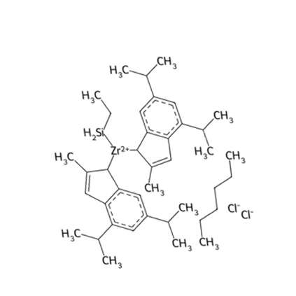 CCCCCC.CC[SiH2][Zr+2]([CH]1C(C)=Cc2c(C(C)C)cc(C(C)C)cc21)[CH]1C(C)=Cc2c(C(C)C)cc(C(C)C)cc21.[Cl-].[Cl-]